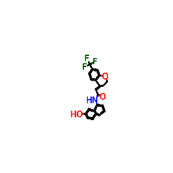 O=C(C=C1CCOc2cc(C(F)(F)F)ccc21)Nc1cccc2ccc(O)cc12